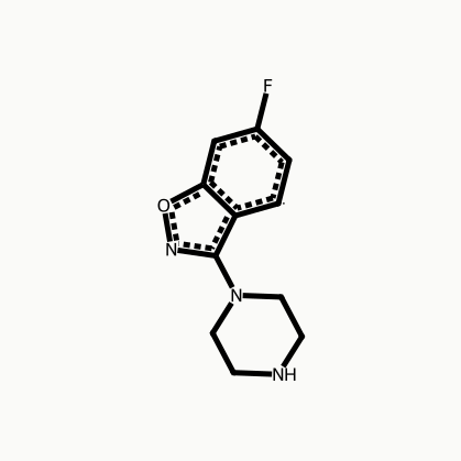 Fc1c[c]c2c(N3CCNCC3)noc2c1